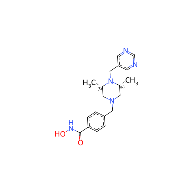 C[C@@H]1CN(Cc2ccc(C(=O)NO)cc2)C[C@H](C)N1Cc1cncnc1